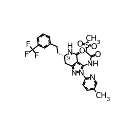 Cc1ccc(-n2nc3c(c2NC(=O)CS(C)(=O)=O)C(=O)N[C@@H](CCc2cccc(C(F)(F)F)c2)C3)nc1